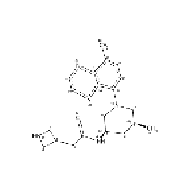 C[C@H]1C[C@@H](NC(=O)CC2CNC2)CN(c2ccc(C(F)(F)F)c3nccnc23)C1